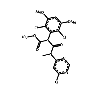 COc1cc(OC)c(Cl)c(N(C(=O)OC(C)(C)C)C(=O)N(C)c2cc(Cl)ncn2)c1Cl